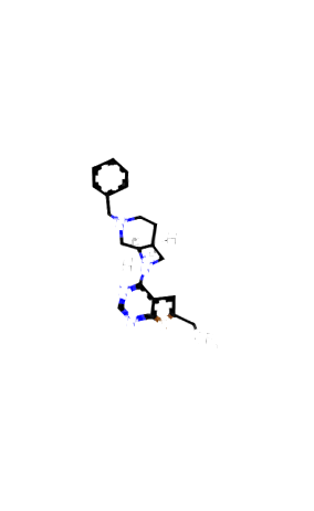 FC(F)(F)Cc1cc2c(N3C[C@@H]4CCN(Cc5ccccc5)C[C@@H]43)ncnc2s1